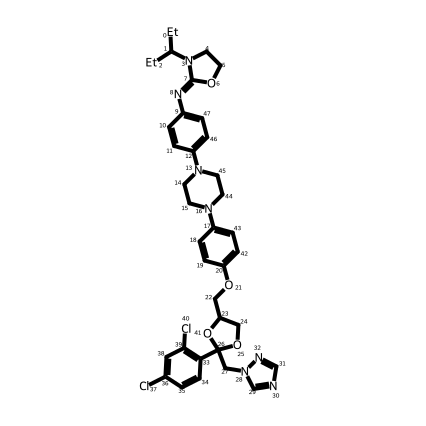 CCC(CC)N1CCOC1=Nc1ccc(N2CCN(c3ccc(OCC4COC(Cn5cncn5)(c5ccc(Cl)cc5Cl)O4)cc3)CC2)cc1